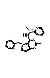 Cc1nc(N[C@@H](C)c2ccccn2)c2c(ccn2Cc2ccccn2)n1